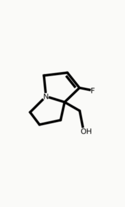 OCC12CCCN1CC=C2F